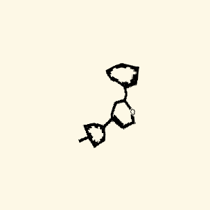 Cc1ccc(C2=CCOC(c3ccccc3)C2)cc1